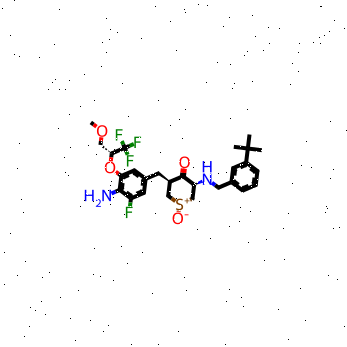 COC[C@@H](Oc1cc(C[C@@H]2C[S+]([O-])C[C@H](NCc3cccc(C(C)(C)C)c3)C2=O)cc(F)c1N)C(F)(F)F